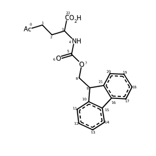 CC(=O)CCC(NC(=O)OCC1c2ccccc2-c2ccccc21)C(=O)O